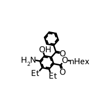 CCCCCCOC(=O)c1c(CC)c(CC)c(N)c(O)c1C(=O)c1ccccc1